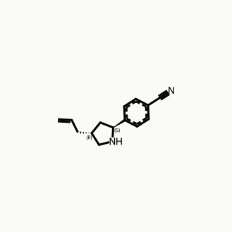 C=CC[C@H]1CN[C@H](c2ccc(C#N)cc2)C1